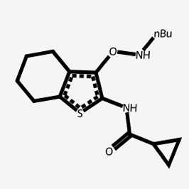 CCCCNOc1c(NC(=O)C2CC2)sc2c1CCCC2